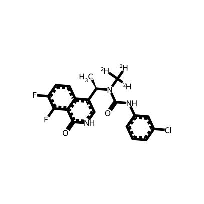 [2H]C([2H])([2H])N(C(=O)Nc1cccc(Cl)c1)[C@H](C)c1c[nH]c(=O)c2c(F)c(F)ccc12